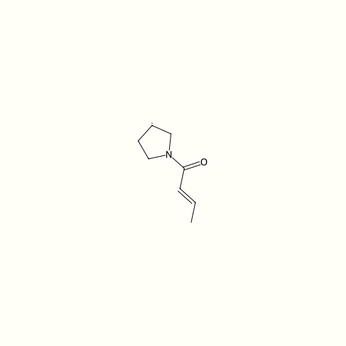 CC=CC(=O)N1C[CH]CC1